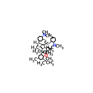 COc1c(C(C)(C)C)cc(C)cc1[Si](C)(C)C1=C(C)C(C)=[C]([Sc]([CH2]c2ccccc2N(C)C)[CH2]c2ccccc2N(C)C)C1C